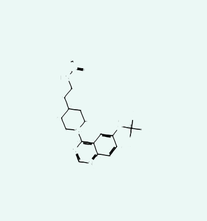 O=[SH](=O)NCCC1CCN(c2ncnc3ccc(OC(F)(F)F)cc23)CC1